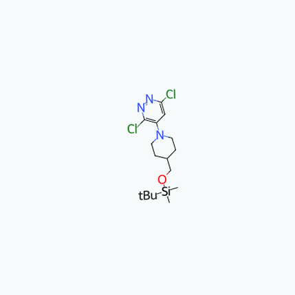 CC(C)(C)[Si](C)(C)OCC1CCN(c2cc(Cl)nnc2Cl)CC1